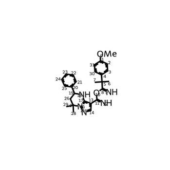 COc1ccc(C(C)(C)C(=N)OC(=N)c2cnn3c2NC(c2ccccc2)CC3(C)C)cc1